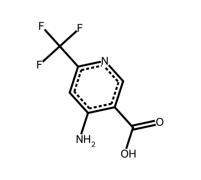 Nc1cc(C(F)(F)F)ncc1C(=O)O